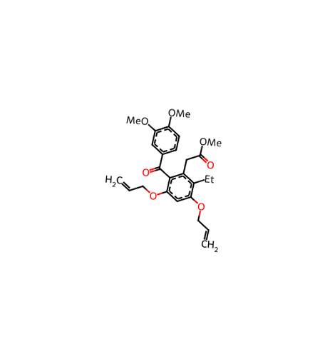 C=CCOc1cc(OCC=C)c(C(=O)c2ccc(OC)c(OC)c2)c(CC(=O)OC)c1CC